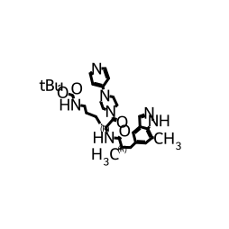 Cc1cc(C[C@@H](C)C(=O)N[C@H](CCCCNC(=O)OC(C)(C)C)C(=O)N2CCN(c3ccncc3)CC2)cc2cn[nH]c12